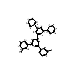 Cc1cccc(-c2cc(-c3cc(-c4ccccc4)cc(-c4ccccc4)c3)cc(-c3cccc(C)c3)n2)c1